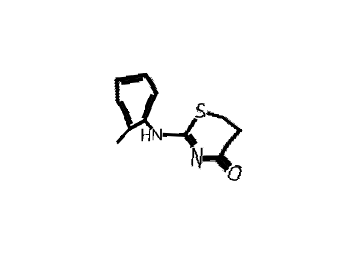 Cc1ccccc1NC1=NC(=O)CCS1